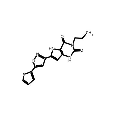 CCCn1c(=O)[nH]c2cc(-c3cc(-c4cccs4)on3)[nH]c2c1=O